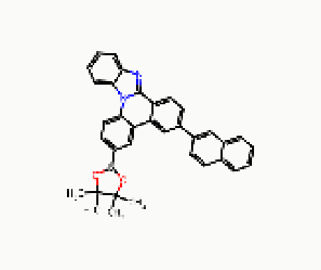 CC1(C)OB(c2ccc3c(c2)c2cc(-c4ccc5ccccc5c4)ccc2c2nc4ccccc4n32)OC1(C)C